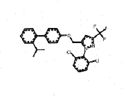 CC(C)c1ccccc1-c1ccc(OCc2cc(C(F)(F)F)nn2-c2c(Cl)cccc2Cl)cc1